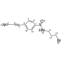 N#CC#Cc1ccc(C(=O)NCCCBr)cc1